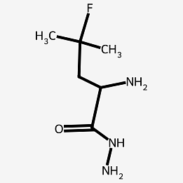 CC(C)(F)CC(N)C(=O)NN